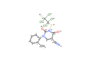 Cc1ccccc1-n1cc(C#N)c(=O)n(SC(Cl)(Cl)C(F)(Cl)Cl)c1=O